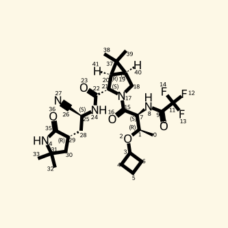 C[C@@H](OC1CCC1)[C@H](NC(=O)C(F)(F)F)C(=O)N1C[C@H]2[C@@H]([C@H]1C(=O)N[C@H](C#N)C[C@@H]1CC(C)(C)NC1=O)C2(C)C